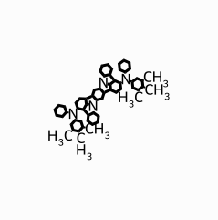 Cc1cc(N(c2ccccc2)c2ccc3c4cc5c(cc4n4c6ccccc6c2c34)c2ccc(N(c3ccccc3)c3cc(C)c(C)c(C)c3)c3c4ccccc4n5c23)cc(C)c1C